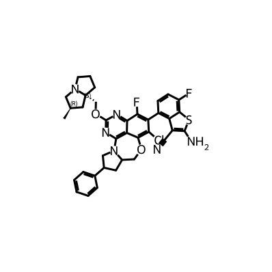 C[C@H]1CN2CCC[C@@]2(COc2nc3c4c(c(Cl)c(-c5ccc(F)c6sc(N)c(C#N)c56)c(F)c4n2)OCC2CC(c4ccccc4)CN32)C1